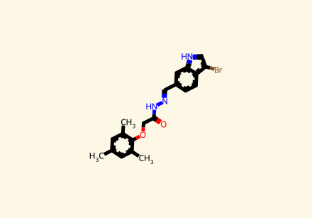 Cc1cc(C)c(OCC(=O)N/N=C/c2ccc3c(Br)c[nH]c3c2)c(C)c1